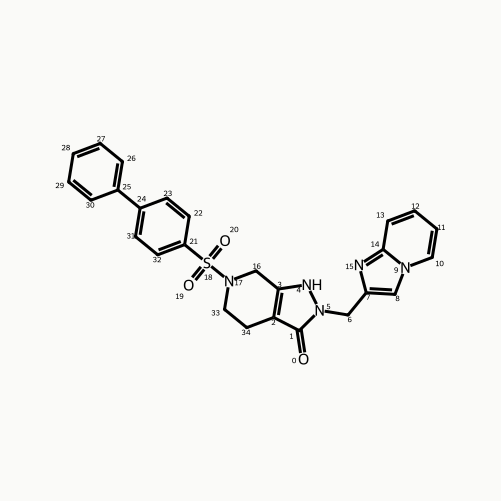 O=c1c2c([nH]n1Cc1cn3ccccc3n1)CN(S(=O)(=O)c1ccc(-c3ccccc3)cc1)CC2